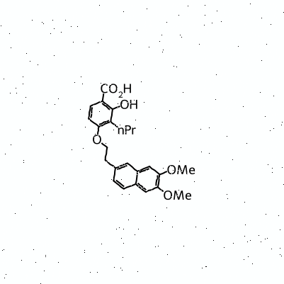 CCCc1c(OCCc2ccc3cc(OC)c(OC)cc3c2)ccc(C(=O)O)c1O